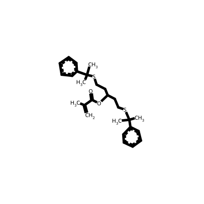 C=C(C)C(=O)OC(CCSC(C)(C)c1ccccc1)CCSC(C)(C)c1ccccc1